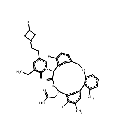 CCc1cc(CCN2CC(F)C2)cn([C@H]2C(=O)N[C@@H](CC(=O)O)c3cc(cc(C)c3F)-c3c(C)cccc3OCc3ccc(F)c2c3)c1=O